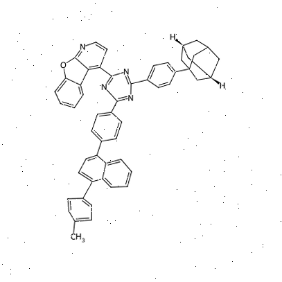 Cc1ccc(-c2ccc(-c3ccc(-c4nc(-c5ccc(C67CC8C[C@H](C6)C[C@@H](C8)C7)cc5)nc(-c5ccnc6oc7ccccc7c56)n4)cc3)c3ccccc23)cc1